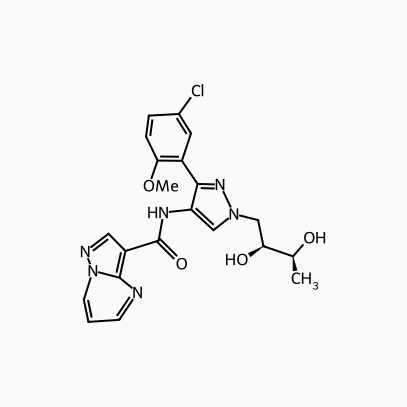 COc1ccc(Cl)cc1-c1nn(C[C@H](O)[C@H](C)O)cc1NC(=O)c1cnn2cccnc12